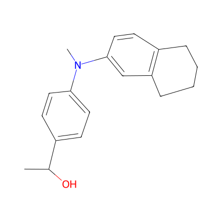 CC(O)c1ccc(N(C)c2ccc3c(c2)CCCC3)cc1